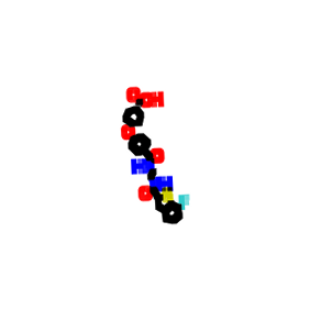 O=C(NCCNC(=O)C1Cc2cccc(F)c2S1)c1ccc(O[C@H]2CC[C@@H](C(=O)O)CC2)cc1